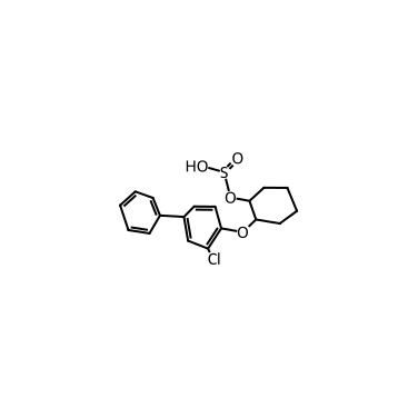 O=S(O)OC1CCCCC1Oc1ccc(-c2ccccc2)cc1Cl